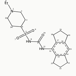 CCN1CCC(S(=O)(=O)NC(=O)Nc2c3c(cc4c2CCC4)CCC3)CC1